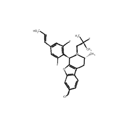 C[C@@H]1Cc2c(oc3cc(Cl)ccc23)[C@@H](c2c(F)cc(/C=C/C(=O)O)cc2F)N1CC(C)(C)F